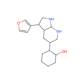 OC1CCCCC1C1CNC2NCC(c3ccoc3)C2C1